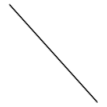 S=S=S=S=S=S=S=S=S=S=S=S=S=S=S=S=S=S=S=S=S=S=S=S=S=S=S=S=S=S=S=S=S=S=S=S=S=S=S=S=S=S=S=S=S=S=S=S=S=S=S=S=S=S=S=S=S=S=S=S=S=S=S=S=S=S=S=S=S=S=S=S=S=S=S=S=S=S=S=S=S=S=S=S=S=S=S=S=S=S=S=S=S=S=S=S=S=S=S=S=S=S=S=S=S=S=S=S=S=S=S=S=S=S=S=S=S=S=S=S=S=S=S=S=S=S=S=S=S=S=S=S=S=S=S=S=S=S=S=S=S=S=S=S=S=S